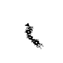 Cc1cc2nc(-c3ccc(Sc4ccc(S(=O)(=O)NC5CC5)cc4)nc3)[nH]c2cc1C